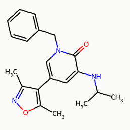 Cc1noc(C)c1-c1cc(NC(C)C)c(=O)n(Cc2ccccc2)c1